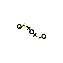 CC(C)(CSC(=S)c1ccccc1)c1ccc(C(C)(C)CSC(=S)c2ccccc2)cc1